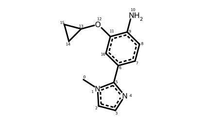 Cn1ccnc1-c1ccc(N)c(OC2CC2)c1